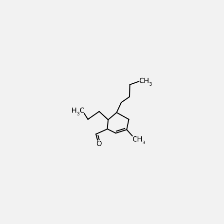 CCCCC1CC(C)=CC(C=O)C1CCC